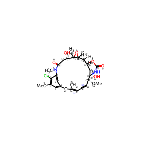 COc1cc2cc(c1Cl)N(C)C(=O)C[C@H](O)[C@]1(C)O[C@@H]1[C@@H](C)[C@@H]1C[C@@](O)(NC(=O)O1)[C@H](OC)/C=C/C=C(\C)C2